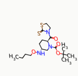 CCCCON[C@@H]1CC[C@@H](C(=O)N2CCSC2=S)N(C(=O)OC(C)(C)C)C1